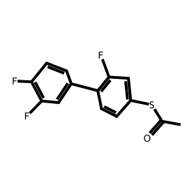 CC(=O)Sc1ccc(-c2ccc(F)c(F)c2)c(F)c1